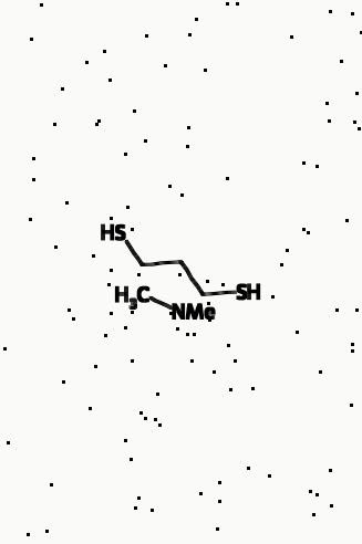 CNC.SCCCS